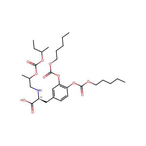 CCCCCOC(=O)Oc1ccc(C[C@H](NCC(C)OC(=O)OC(C)CC)C(=O)O)cc1OC(=O)OCCCCC